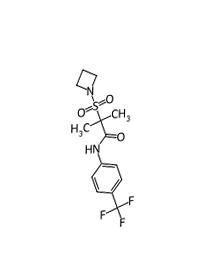 CC(C)(C(=O)Nc1ccc(C(F)(F)F)cc1)S(=O)(=O)N1CCC1